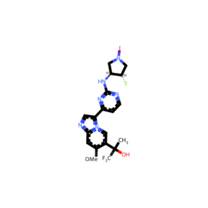 COc1cc2ncc(-c3ccnc(N[C@H]4CN(I)C[C@@H]4F)n3)n2cc1C(C)(O)C(F)(F)F